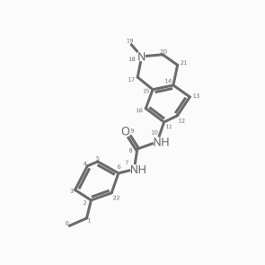 CCc1cccc(NC(=O)Nc2ccc3c(c2)CN(C)CC3)c1